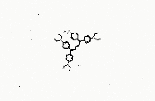 CCN(CC)c1ccc(C(=C/C=C/C(=C2C=CC(N)C=C2)c2ccc(N(CC)CC)cc2)c2ccc(N(CC)CC)cc2)cc1